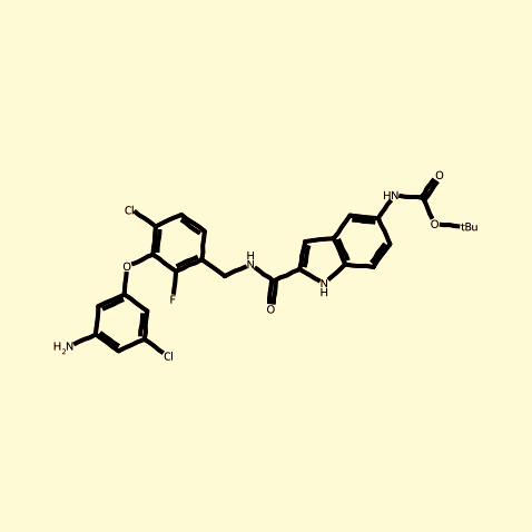 CC(C)(C)OC(=O)Nc1ccc2[nH]c(C(=O)NCc3ccc(Cl)c(Oc4cc(N)cc(Cl)c4)c3F)cc2c1